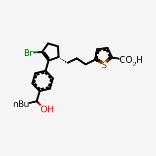 CCCCC(O)c1ccc(C2=C(Br)CC[C@@H]2CCCc2ccc(C(=O)O)s2)cc1